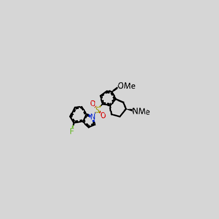 CN[C@H]1CCc2c(S(=O)(=O)n3ccc4c(F)cccc43)ccc(OC)c2C1